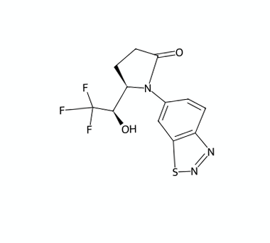 O=C1CC[C@H]([C@@H](O)C(F)(F)F)N1c1ccc2nnsc2c1